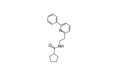 O=C(NCCc1cccc(-c2ccccc2)n1)C1CCCC1